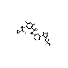 Cc1cc(F)c(C(=O)Nc2cccc(-c3nncn3CC(F)(F)F)n2)cc1NC(=O)C1CC1